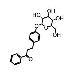 O=C(CCc1ccc(O[C@@H]2O[C@H](CO)[C@@H](O)[C@H](O)[C@H]2O)cc1)c1ccccc1